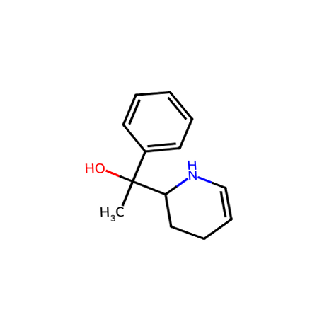 CC(O)(c1ccccc1)C1CCC=CN1